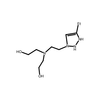 CCC1=CN(CCN(CCO)CCO)NN1